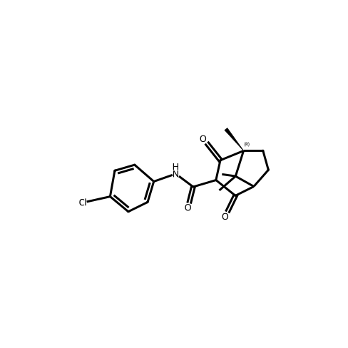 CC1(C)C2CC[C@@]1(C)C(=O)C(C(=O)Nc1ccc(Cl)cc1)C2=O